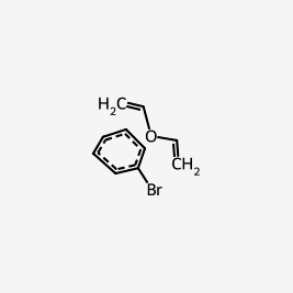 Brc1ccccc1.C=COC=C